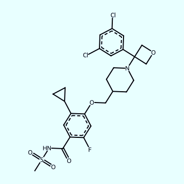 CS(=O)(=O)NC(=O)c1cc(C2CC2)c(OCC2CCN(C3(c4cc(Cl)cc(Cl)c4)COC3)CC2)cc1F